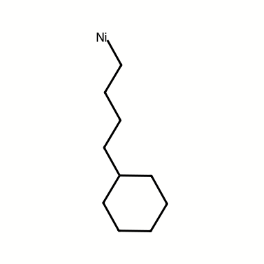 [Ni][CH2]CCCC1CCCCC1